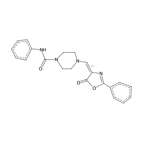 O=C1OC(c2ccccc2)=N/C1=C/N1CCN(C(=O)Nc2ccccc2)CC1